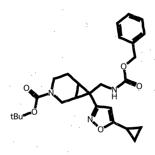 CC(C)(C)OC(=O)N1CCC2C(C1)C2(CNC(=O)OCc1ccccc1)c1cc(C2CC2)on1